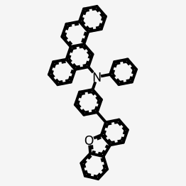 c1ccc(N(c2cccc(-c3cccc4c3oc3ccccc34)c2)c2cc3c4ccccc4ccc3c3ccccc23)cc1